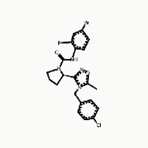 Cc1nnc([C@H]2CCCN2C(=O)Nc2ccc(Br)cc2F)n1Cc1ccc(Cl)cc1